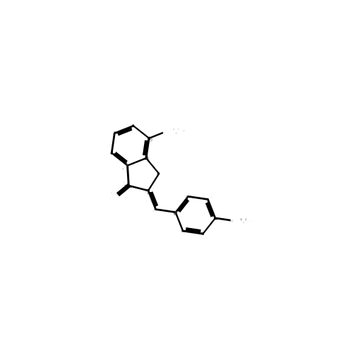 COc1ccc(/C=C2\Cc3c(OC)cccc3C2=O)cc1